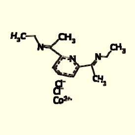 CCN=C(C)c1cccc(C(C)=NCC)n1.[Cl-].[Cl-].[Co+2]